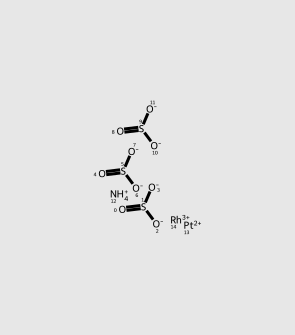 O=S([O-])[O-].O=S([O-])[O-].O=S([O-])[O-].[NH4+].[Pt+2].[Rh+3]